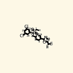 CCS(=O)(=O)N(Cc1ccc(-c2nnc(C(F)F)o2)cn1)c1cc(Cl)cc(Cl)c1